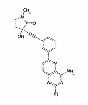 CCc1nc(N)c2nc(-c3cccc(C#CC4(O)CCN(C)C4=O)c3)ccc2n1